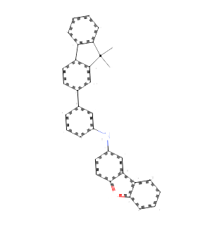 CC1(C)c2ccccc2-c2ccc(-c3cccc(Nc4ccc5oc6ccccc6c5c4)c3)cc21